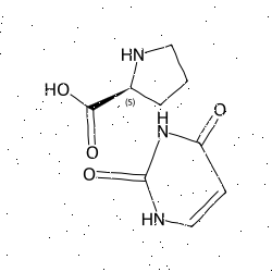 O=C(O)[C@@H]1CCCN1.O=c1cc[nH]c(=O)[nH]1